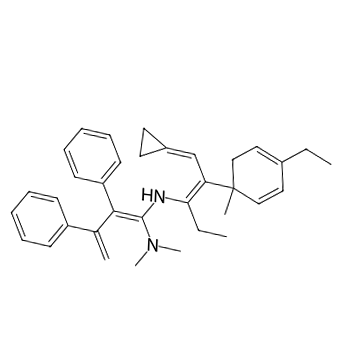 C=C(/C(=C(/N/C(CC)=C(\C=C1CC1)C1(C)C=CC(CC)=CC1)N(C)C)c1ccccc1)c1ccccc1